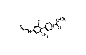 CC(C)(C)OC(=O)N1CC=C(c2c(Cl)cc(N=CC=S)cc2C(F)(F)F)CC1